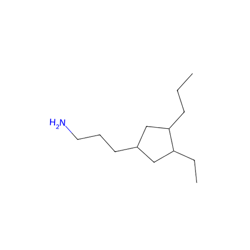 CCCC1CC(CCCN)CC1CC